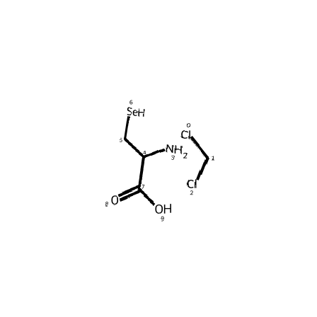 ClCCl.NC(C[SeH])C(=O)O